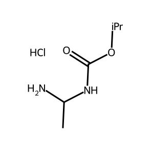 CC(N)NC(=O)OC(C)C.Cl